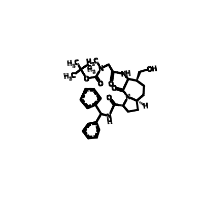 CN(CC(=O)N[C@@H]1C(=O)N2[C@@H](CC[C@@H]1CO)CC[C@H]2C(=O)NC(c1ccccc1)c1ccccc1)C(=O)OC(C)(C)C